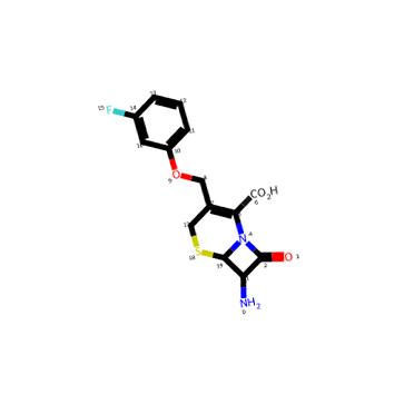 NC1C(=O)N2C(C(=O)O)=C(COc3cccc(F)c3)CSC12